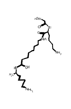 CCCCCCCCCCCC(=O)NC(CCCCN)C(=O)NCCCCCCCC(O)NC(C)CCCCN